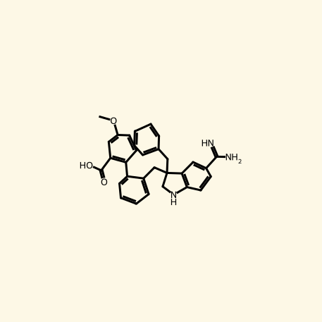 COc1ccc(-c2ccccc2CC2(Cc3ccccc3)CNc3ccc(C(=N)N)cc32)c(C(=O)O)c1